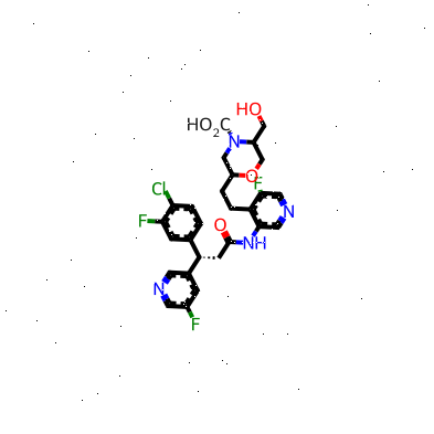 O=C(C[C@H](c1cncc(F)c1)c1ccc(Cl)c(F)c1)Nc1cncc(F)c1CCC1CN(C(=O)O)C(CO)CO1